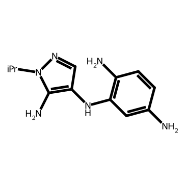 CC(C)n1ncc(Nc2cc(N)ccc2N)c1N